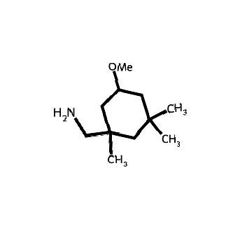 COC1CC(C)(C)CC(C)(CN)C1